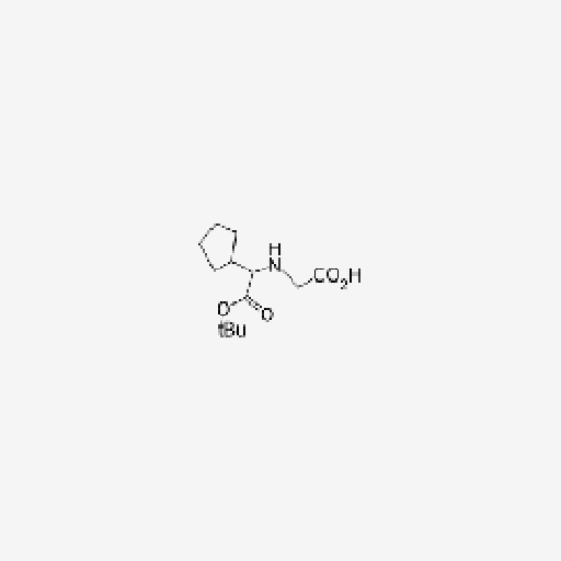 CC(C)(C)OC(=O)C(NCC(=O)O)C1CCCC1